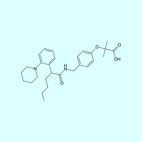 CCCCC(C(=O)NCc1ccc(OC(C)(C)C(=O)O)cc1)c1ccccc1N1CCCCC1